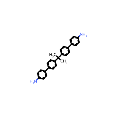 CC(C)(c1ccc(-c2ccc(N)cc2)cc1)c1ccc(-c2ccc(N)cc2)cc1